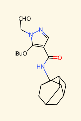 CC(C)COc1c(C(=O)NC2C3CCC4CC(C3)CC2C4)cnn1CC=O